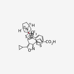 O=C(O)c1cc(-c2csc(N3[C@@H]4CC[C@H]3CC(OCc3c(-c5ccccc5OC(F)(F)F)noc3C3CC3)C4)n2)cs1